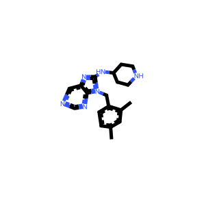 Cc1ccc(Cn2c(NC3CCNCC3)nc3cncnc32)c(C)c1